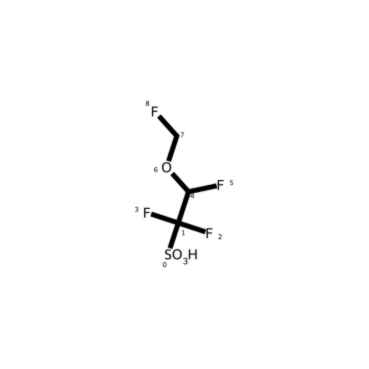 O=S(=O)(O)C(F)(F)C(F)OCF